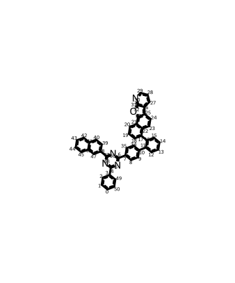 c1ccc(-c2nc(-c3ccc(-c4ccccc4-c4cccc5c4ccc4c6cccnc6oc54)cc3)nc(-c3ccc4ccccc4c3)n2)cc1